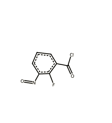 O=Nc1cccc(C(=O)Cl)c1F